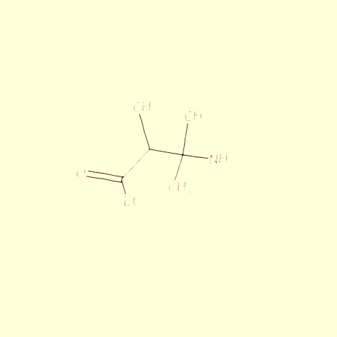 CCC(=O)C(C)C(C)(C)N